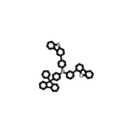 c1ccc(C2(c3ccc(N(c4ccc(-c5ccc6sc7ccccc7c6c5)cc4)c4cccc(-c5cccc6c5oc5ccccc56)c4)cc3)c3ccccc3-c3ccccc32)cc1